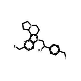 OC(Cn1c2c(c3nc(CF)ccc31)C1CCCN1CC2)c1ccc(CF)cc1